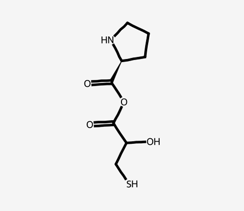 O=C(OC(=O)[C@@H]1CCCN1)C(O)CS